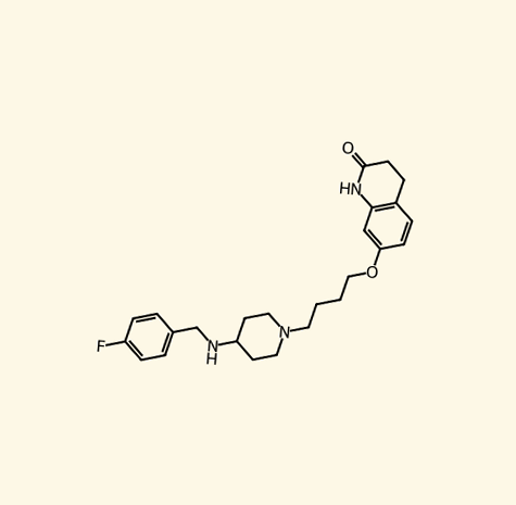 O=C1CCc2ccc(OCCCCN3CCC(NCc4ccc(F)cc4)CC3)cc2N1